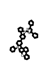 c1ccc(-c2cc(-c3ccccc3)nc(-n3c4ccccc4c4cc(-c5ccc6c(c5)c5c7cccc8c7c(cc5n6-c5ccccc5)Oc5ccccc5-8)ccc43)n2)cc1